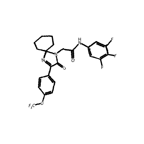 O=C(CN1C(=O)C(c2ccc(OC(F)(F)F)cc2)=NC12CCCCC2)Nc1cc(F)c(F)c(F)c1